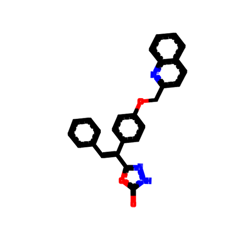 O=c1[nH]nc(/C(=C/c2ccccc2)c2ccc(OCc3ccc4ccccc4n3)cc2)o1